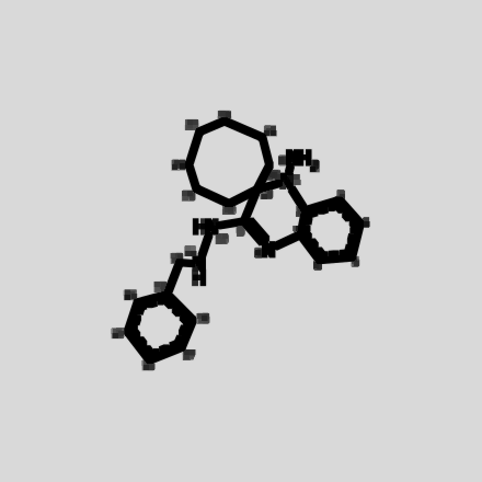 NN1c2ccccc2N=C(NNCc2ccccc2)C12CCCCCCC2